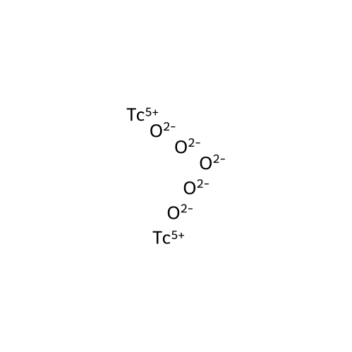 [O-2].[O-2].[O-2].[O-2].[O-2].[Tc+5].[Tc+5]